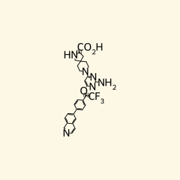 Nc1nc(O[C@H](c2ccc(-c3ccc4cnccc4c3)cc2)C(F)(F)F)cc(N2CCC3(CC2)CN[C@H](C(=O)O)C3)n1